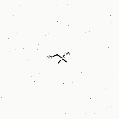 CCCC[N+](C)(C)CCC